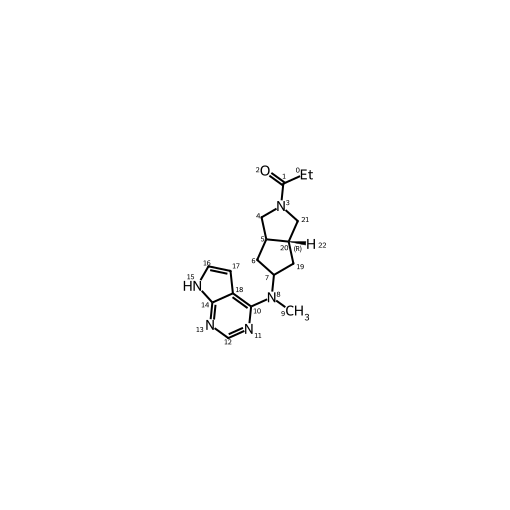 CCC(=O)N1CC2CC(N(C)c3ncnc4[nH]ccc34)C[C@H]2C1